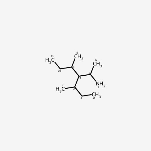 CCC(C)C(C(C)N)C(C)CC